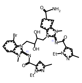 CCn1nc(C)cc1C(=O)/N=c1\n(C)c2cc(C(N)=O)ccc2n1CC(O)C(O)Cn1/c(=N/C(=O)c2cc(C)nn2CC)n(C)c2cccc(Br)c21